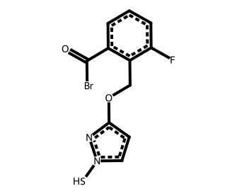 O=C(Br)c1cccc(F)c1COc1ccn(S)n1